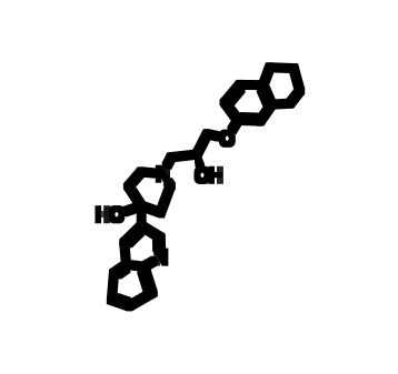 O[C@H](COc1ccc2c(c1)CCCC2)CN1CCC(O)(c2cnc3ccccc3c2)CC1